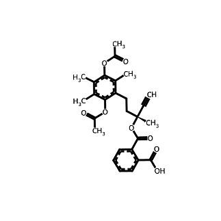 C#C[C@@](C)(CCc1c(C)c(OC(C)=O)c(C)c(C)c1OC(C)=O)OC(=O)c1ccccc1C(=O)O